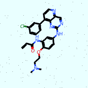 C=CC(=O)Nc1cc(Nc2ncc3nccc(-c4cccc(Cl)c4)c3n2)ccc1OCCN(C)C